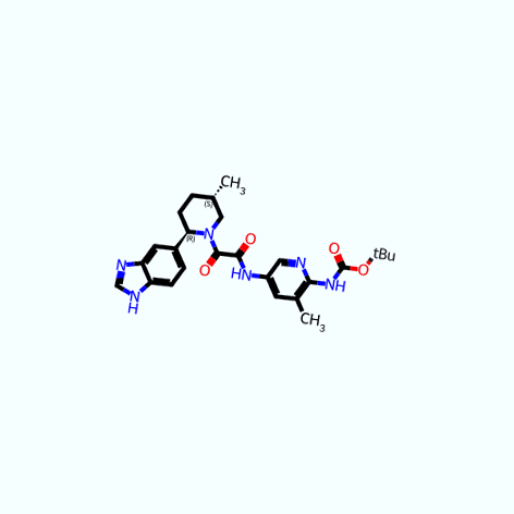 Cc1cc(NC(=O)C(=O)N2C[C@@H](C)CC[C@@H]2c2ccc3[nH]cnc3c2)cnc1NC(=O)OC(C)(C)C